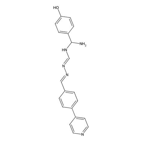 NC(NC=NN=Cc1ccc(-c2ccncc2)cc1)c1ccc(O)cc1